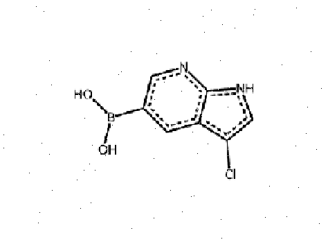 OB(O)c1cnc2[nH]cc(Cl)c2c1